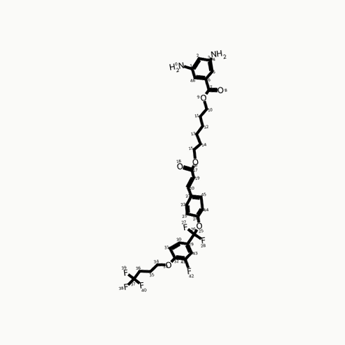 Nc1cc(N)cc(C(=O)OCCCCCCOC(=O)C=Cc2ccc(OC(F)(F)c3ccc(OCCCC(F)(F)F)c(F)c3)cc2)c1